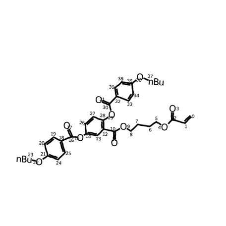 C=CC(=O)OCCCCOC(=O)c1cc(OC(=O)c2ccc(OCCCC)cc2)ccc1OC(=O)c1ccc(OCCCC)cc1